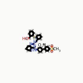 CS(=O)(=O)c1ccc(C2CCC(Nc3nc(NCc4ccccc4Sc4ccccc4CO)nc4ccccc34)CC2)c([N+](=O)[O-])c1